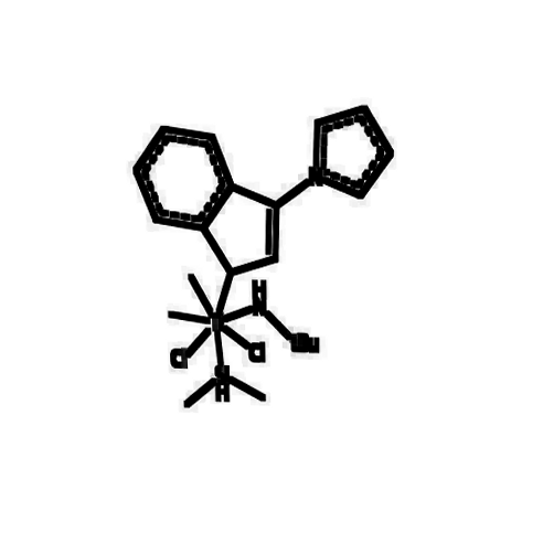 C[SiH](C)[Ti]([CH3])([CH3])([Cl])([Cl])([NH]C(C)(C)C)[CH]1C=C(n2cccc2)c2ccccc21